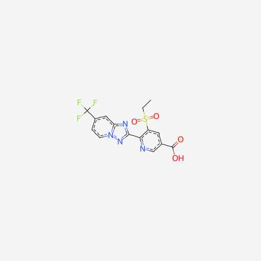 CCS(=O)(=O)c1cc(C(=O)O)cnc1-c1nc2cc(C(F)(F)F)ccn2n1